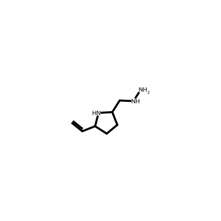 C=CC1CCC(CNN)N1